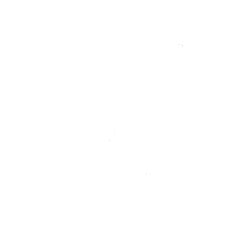 CCCCCCCCC(CCCCCCCC)OC(=O)CCCCCCCOCC(COCCOCCOCCOCCOC(=O)C1CCN(C)CC1)OCCCCCCCC(=O)OC(CCCCCCCC)CCCCCCCC